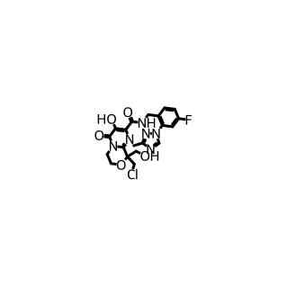 Cc1ncn(-c2cc(F)ccc2CNC(=O)c2nc3n(c(=O)c2O)CCOC3(CO)CCl)n1